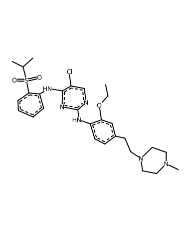 CCOc1cc(CCN2CCN(C)CC2)ccc1Nc1ncc(Cl)c(Nc2ccccc2S(=O)(=O)C(C)C)n1